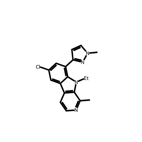 CCn1c2c(-c3ccn(C)n3)cc(Cl)cc2c2ccnc(C)c21